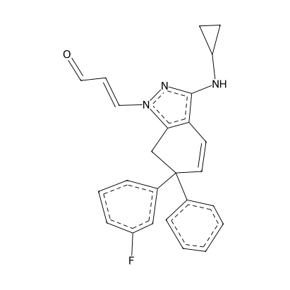 O=CC=Cn1nc(NC2CC2)c2c1CC(c1ccccc1)(c1cccc(F)c1)C=C2